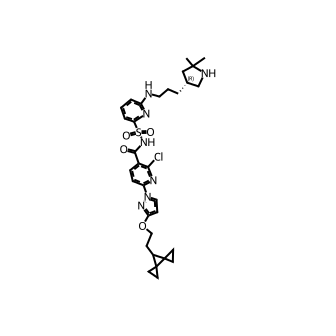 CC1(C)C[C@@H](CCCNc2cccc(S(=O)(=O)NC(=O)c3ccc(-n4ccc(OCCC5C6(CC6)C56CC6)n4)nc3Cl)n2)CN1